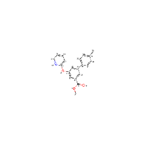 COC(=O)c1cc(Oc2ccccn2)cc(-c2ccc(C)cc2)c1